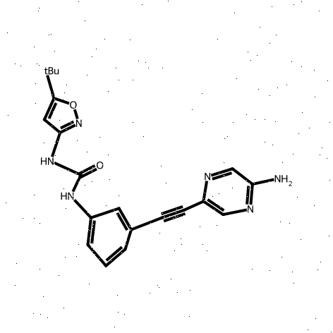 CC(C)(C)c1cc(NC(=O)Nc2cccc(C#Cc3cnc(N)cn3)c2)no1